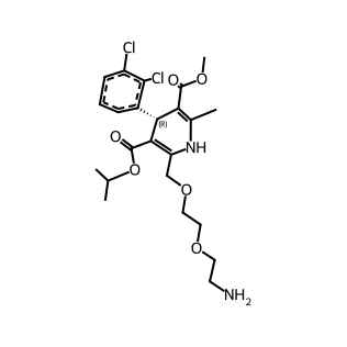 COC(=O)C1=C(C)NC(COCCOCCN)=C(C(=O)OC(C)C)[C@@H]1c1cccc(Cl)c1Cl